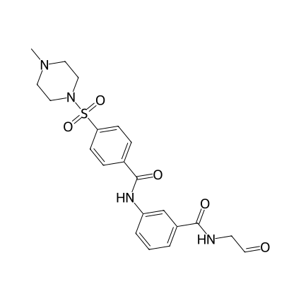 CN1CCN(S(=O)(=O)c2ccc(C(=O)Nc3cccc(C(=O)NCC=O)c3)cc2)CC1